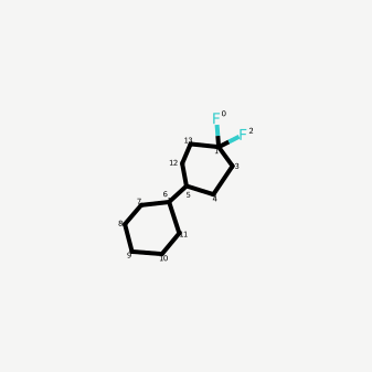 FC1(F)CCC([C]2CCCCC2)CC1